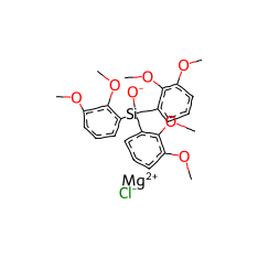 COc1cccc([Si]([O-])(c2cccc(OC)c2OC)c2cccc(OC)c2OC)c1OC.[Cl-].[Mg+2]